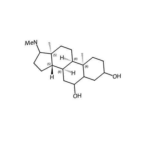 CNC1CC[C@H]2[C@@H]3CC(O)C4CC(O)CC[C@]4(C)[C@@H]3CC[C@]12C